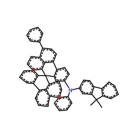 CC1(C)c2ccccc2-c2ccc(N(c3ccccc3)c3ccc4c(c3)C3(c5ccccc5-c5cccc6cccc3c56)c3cccc5c(-c6ccccc6)ccc-4c35)cc21